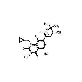 C[C@H](CC(=N)c1ccc2c(=O)n(N)c(=O)n(CC3CC3)c2c1F)C(C)(C)N.Cl